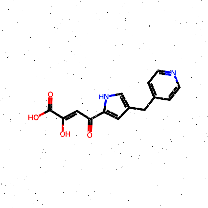 O=C(O)C(O)=CC(=O)c1cc(Cc2ccncc2)c[nH]1